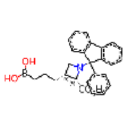 O=C(O)[C@@H]1[C@H](CCCB(O)O)CN1C1(c2ccccc2)c2ccccc2-c2ccccc21